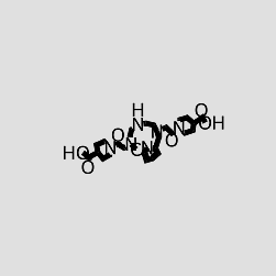 O=C(O)C1CCN(C(=O)CN2CCNCCN(CC(=O)N3CCC(C(=O)O)CC3)Cc3cccc(n3)C2)CC1